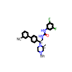 CCCN1CCN([C@H](CNC(=O)Nc2cc(F)cc(F)c2)c2ccc(-c3cccc(C#N)c3)cc2)[C@@H](C)C1